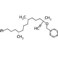 C#C[C@@](C)(CCC[C@@H](C)CCC[C@H](C)CCCC(C)C)OCc1ccccc1